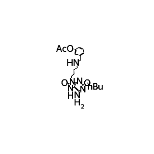 CCCCOc1nc(N)c2[nH]c(=O)n(CCCCNCc3cccc(OC(C)=O)c3)c2n1